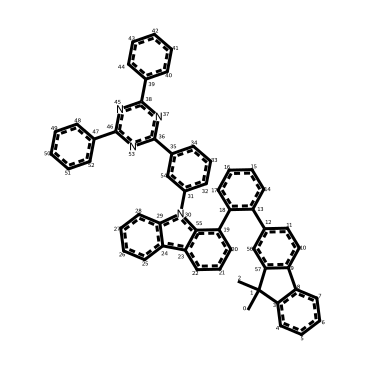 CC1(C)c2ccccc2-c2ccc(-c3ccccc3-c3cccc4c5ccccc5n(-c5cccc(-c6nc(-c7ccccc7)nc(-c7ccccc7)n6)c5)c34)cc21